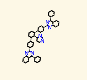 c1ccc(-c2nc(-c3ccc(-c4cccc(-c5ccc(-c6nc(-c7ccccc7)c7ccccc7n6)cc5)c4-c4ccncn4)cc3)nc3ccccc23)cc1